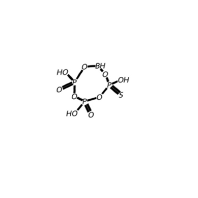 O=P1(O)OBOP(O)(=S)OP(=O)(O)O1